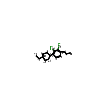 CCCc1ccc(C2CCC(CC)CC2)c(F)c1F